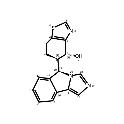 O[C@H]1c2ncsc2CC[C@@H]1[C@@H]1c2ccccc2-c2cncn21